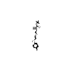 Cc1ccc(OCCOCCNC(=O)OC(C)(C)C)cc1